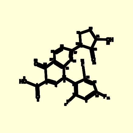 O=C(O)c1cn(-c2c(F)cc(F)cc2F)c2nc(N3CCC(O)C3=O)ccc2c1=O